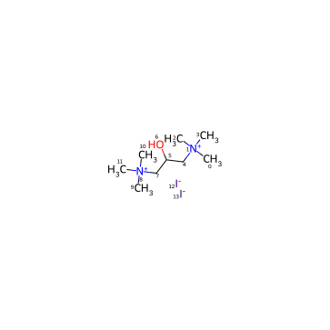 C[N+](C)(C)CC(O)C[N+](C)(C)C.[I-].[I-]